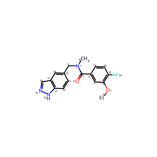 CCOc1cc(C(=O)N(C)Cc2ccc3[nH]ncc3c2)ccc1F